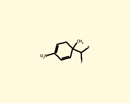 CC1(C(F)F)C=CC([N+](=O)[O-])=CC1